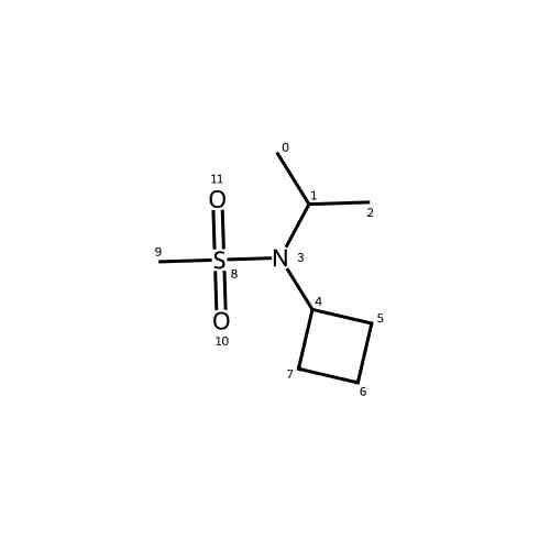 CC(C)N(C1CCC1)S(C)(=O)=O